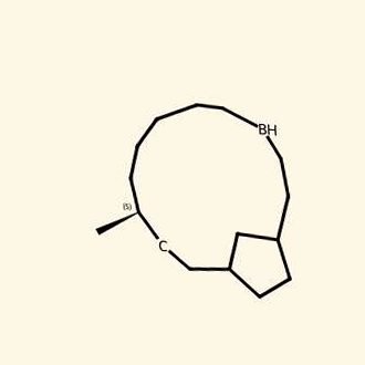 C[C@H]1CCCCCBCCC2CCC(CC1)C2